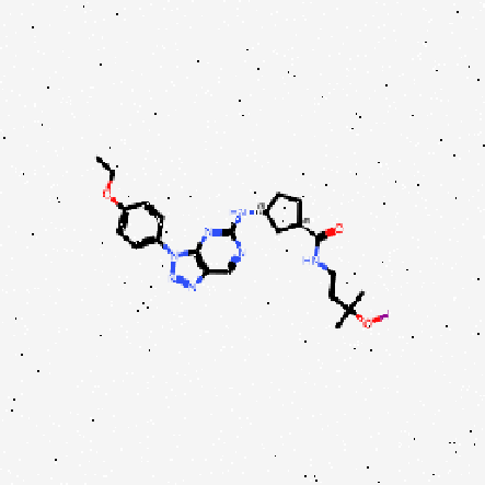 CCOc1ccc(-n2nnc3cnc(N[C@@H]4CC[C@@H](C(=O)NCCC(C)(C)OI)C4)nc32)cc1